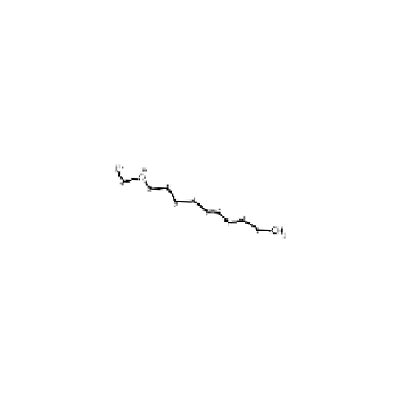 CCCCCCCCCCOCI